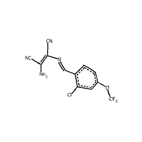 N#CC(N)=C(C#N)N=Cc1ccc(OC(F)(F)F)cc1Cl